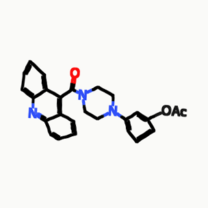 CC(=O)Oc1cccc(N2CCN(C(=O)c3c4ccccc4nc4ccccc34)CC2)c1